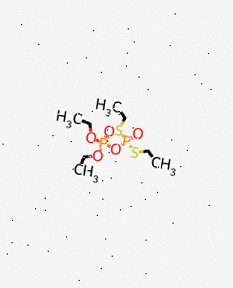 CCOP(=O)(OCC)OP(=O)(SCC)SCC